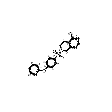 Nc1ncnc2c1CCN(S(=O)(=O)c1ccc(Oc3ccccn3)cc1)C2